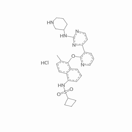 Cc1ccc2c(NS(=O)(=O)C3CCC3)cccc2c1Oc1ncccc1-c1ccnc(NC2CCCNC2)n1.Cl